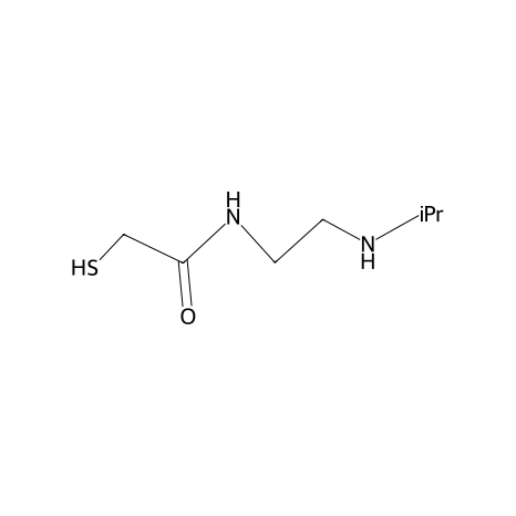 CC(C)NCCNC(=O)CS